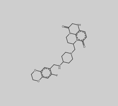 O=C1CNc2ccc(=O)n3c2N1CCC3CN1CCC(NCc2cc3c(cc2F)OCCO3)CC1